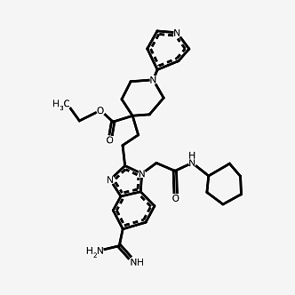 CCOC(=O)C1(CCc2nc3cc(C(=N)N)ccc3n2CC(=O)NC2CCCCC2)CCN(c2ccncc2)CC1